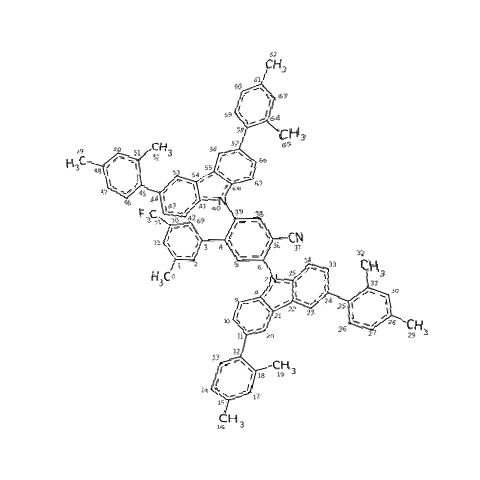 Cc1cc(-c2cc(-n3c4ccc(-c5ccc(C)cc5C)cc4c4cc(-c5ccc(C)cc5C)ccc43)c(C#N)cc2-n2c3ccc(-c4ccc(C)cc4C)cc3c3cc(-c4ccc(C)cc4C)ccc32)cc(C(F)(F)F)c1